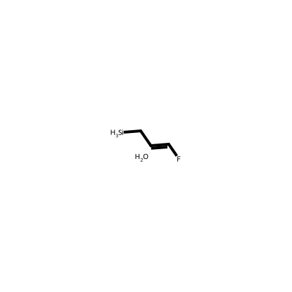 FC=CC[SiH3].O